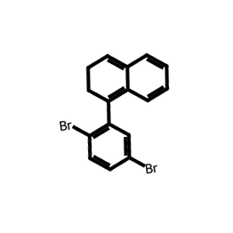 Brc1ccc(Br)c(C2=c3ccccc3=CCC2)c1